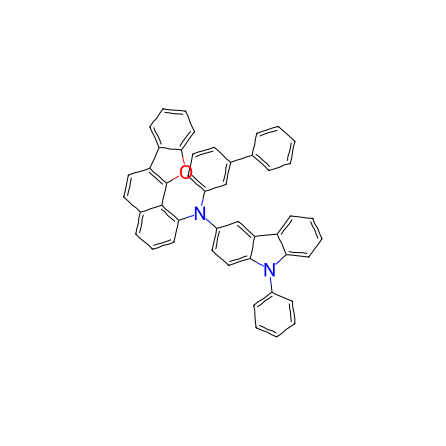 c1ccc(-c2cccc(N(c3ccc4c(c3)c3ccccc3n4-c3ccccc3)c3cccc4ccc5c6ccccc6oc5c34)c2)cc1